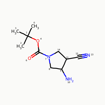 CC(C)(C)OC(=O)N1CC(N)C(C#N)C1